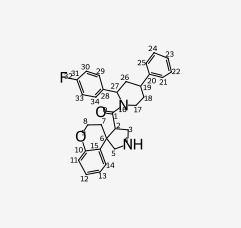 O=C(C1CNCC12CCOc1ccccc12)N1CCC(c2ccccc2)CC1c1ccc(F)cc1